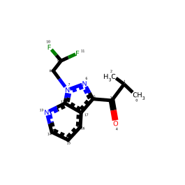 CC(C)C(=O)c1nn(CC(F)F)c2ncccc12